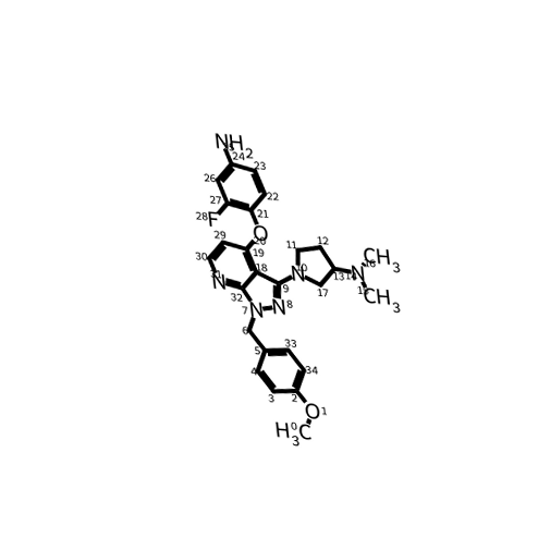 COc1ccc(Cn2nc(N3CCC(N(C)C)C3)c3c(Oc4ccc(N)cc4F)ccnc32)cc1